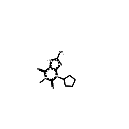 Cn1c(=O)c2[nH]c([N+](=O)[O-])nc2n(C2CCCC2)c1=O